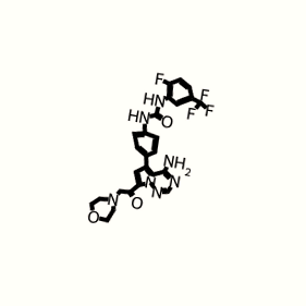 Nc1ncnn2c(C(=O)CN3CCOCC3)cc(-c3ccc(NC(=O)Nc4cc(C(F)(F)F)ccc4F)cc3)c12